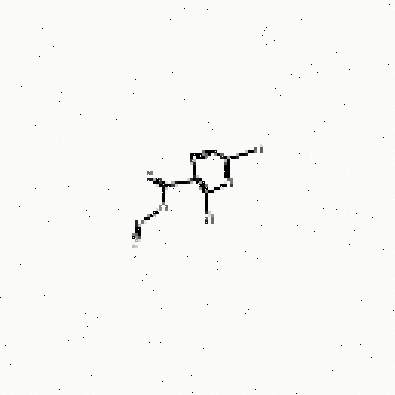 O=NOC(=O)c1ccc(Cl)nc1Cl